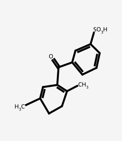 CC1=CC(C(=O)c2cccc(S(=O)(=O)O)c2)=C(C)CC1